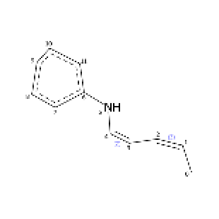 C/C=C\C=C/Nc1ccccc1